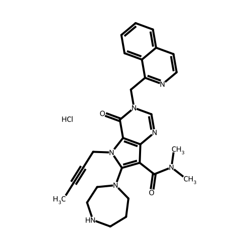 CC#CCn1c(N2CCCNCC2)c(C(=O)N(C)C)c2ncn(Cc3nccc4ccccc34)c(=O)c21.Cl